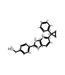 OCc1ccc(-c2nc3ccc(C4(c5ccccc5)CC4)nc3s2)cc1